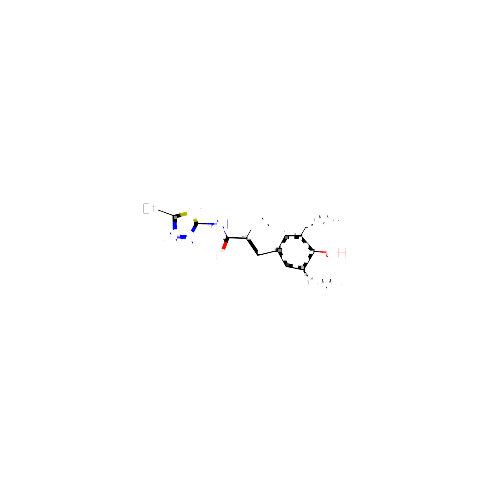 CCc1nnc(NC(=O)/C(C#N)=C/c2cc(OC)c(O)c(OC)c2)s1